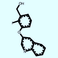 OCc1cccc(Oc2cnc3ccccc3c2)c1I